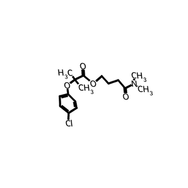 CN(C)C(=O)CCCOC(=O)C(C)(C)Oc1ccc(Cl)cc1